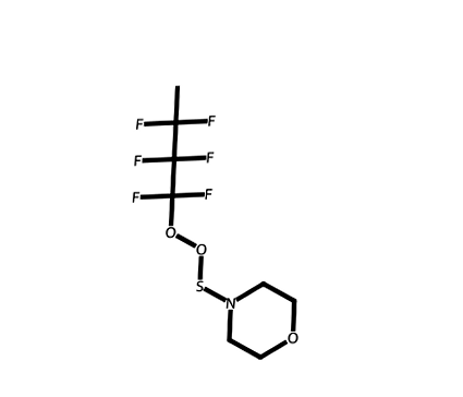 CC(F)(F)C(F)(F)C(F)(F)OOSN1CCOCC1